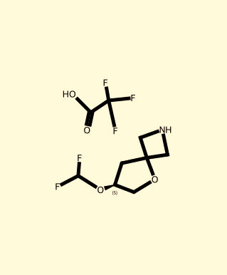 FC(F)O[C@@H]1COC2(CNC2)C1.O=C(O)C(F)(F)F